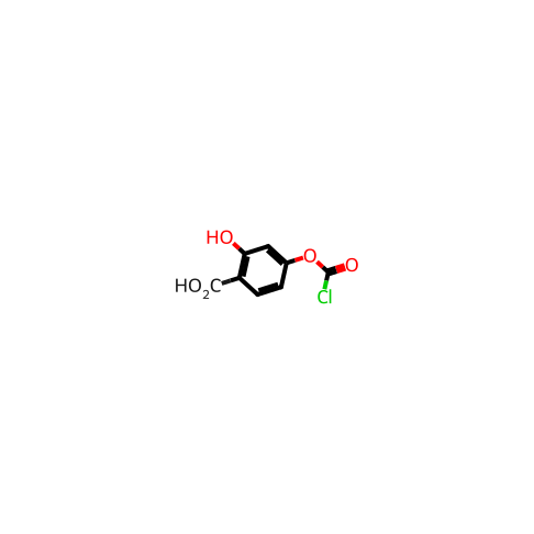 O=C(Cl)Oc1ccc(C(=O)O)c(O)c1